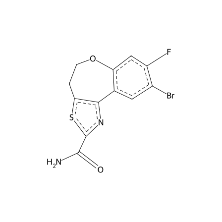 NC(=O)c1nc2c(s1)CCOc1cc(F)c(Br)cc1-2